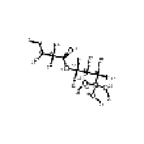 CCC(F)C(F)(F)C(=O)OC(F)(F)C(F)(F)C(F)(F)[Si](OC)(OC)OC